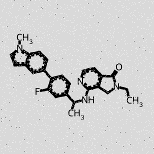 CCN1Cc2c(ccnc2NC(C)c2ccc(-c3ccc4c(ccn4C)c3)c(F)c2)C1=O